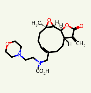 C=C1C(=O)O[C@H]2[C@H]1CC/C(CN(CCN1CCOCC1)C(=O)O)=C\CC[C@@]1(C)O[C@@H]21